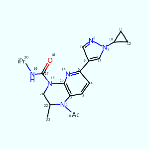 CC(=O)N1c2ccc(-c3cnn(C4CC4)c3)nc2N(C(=O)NC(C)C)CC1C